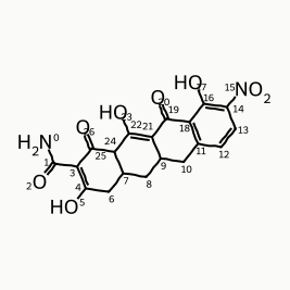 NC(=O)C1=C(O)CC2CC3Cc4ccc([N+](=O)[O-])c(O)c4C(=O)C3=C(O)C2C1=O